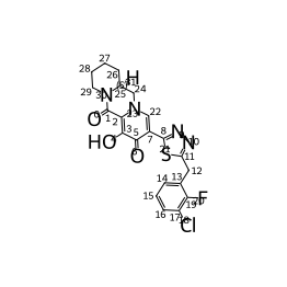 O=C1c2c(O)c(=O)c(-c3nnc(Cc4cccc(Cl)c4F)s3)cn2C[C@@H]2CCCCN12